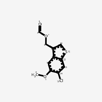 COc1cc2c(COC=O)csc2cc1Cl